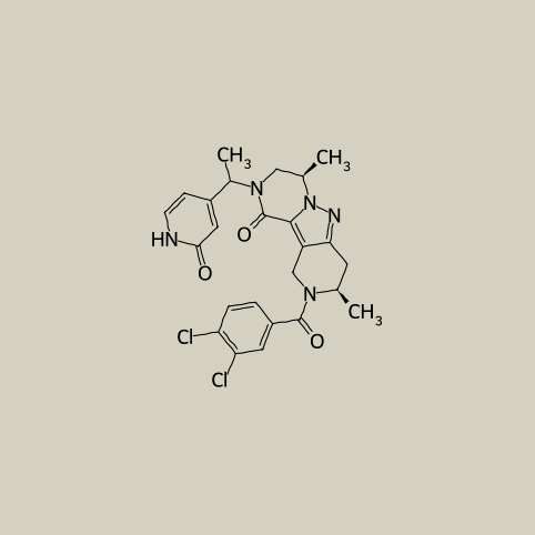 CC(c1cc[nH]c(=O)c1)N1C[C@@H](C)n2nc3c(c2C1=O)CN(C(=O)c1ccc(Cl)c(Cl)c1)[C@H](C)C3